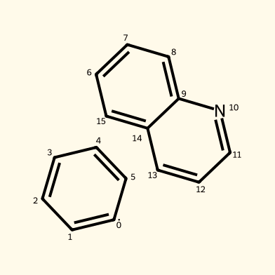 [c]1ccccc1.c1ccc2ncccc2c1